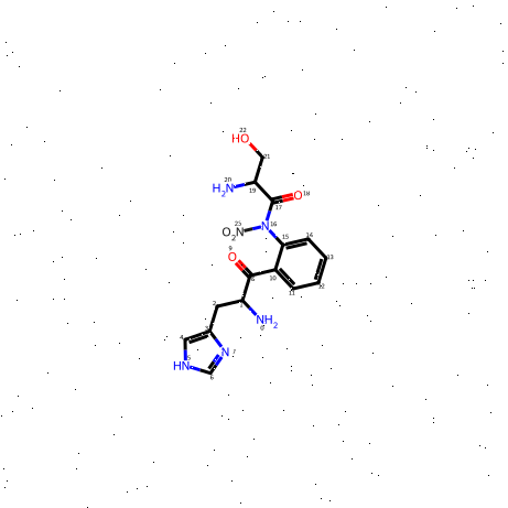 NC(Cc1c[nH]cn1)C(=O)c1ccccc1N(C(=O)C(N)CO)[N+](=O)[O-]